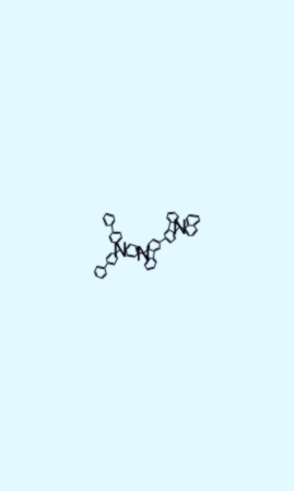 c1ccc(-c2ccc(N(c3ccc(-c4ccccc4)cc3)c3ccc(-n4c5ccccc5c5cc(-c6ccc7c(c6)c6ccccc6n7-c6cccc7ccccc67)ccc54)cc3)cc2)cc1